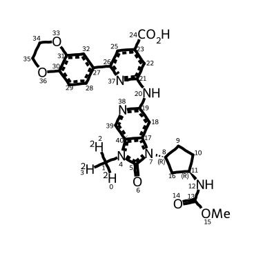 [2H]C([2H])([2H])n1c(=O)n([C@@H]2CC[C@@H](NC(=O)OC)C2)c2cc(Nc3cc(C(=O)O)cc(-c4ccc5c(c4)OCCO5)n3)ncc21